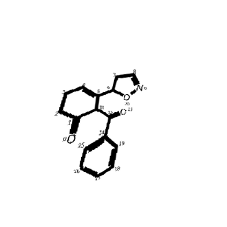 O=C1CCC=C(C2CC=NO2)C1C(=O)c1ccccc1